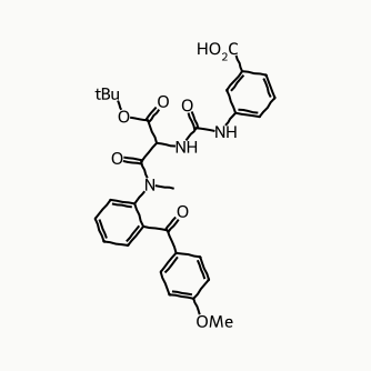 COc1ccc(C(=O)c2ccccc2N(C)C(=O)C(NC(=O)Nc2cccc(C(=O)O)c2)C(=O)OC(C)(C)C)cc1